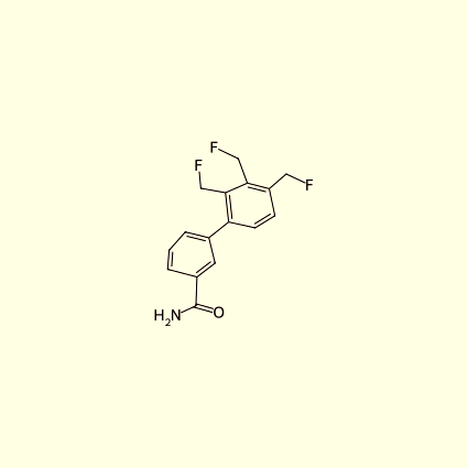 NC(=O)c1cccc(-c2ccc(CF)c(CF)c2CF)c1